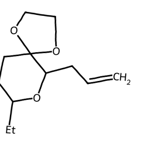 C=CCC1OC(CC)CCC12OCCO2